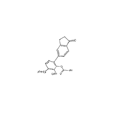 COc1ccc(-c2ccc3c(c2)CCC3=O)c(OC(=O)C(C)C)c1OC